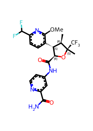 COc1nc(C(F)F)ccc1[C@@H]1[C@@H](C)[C@@](C)(C(F)(F)F)O[C@H]1C(=O)Nc1ccnc(C(N)=O)c1